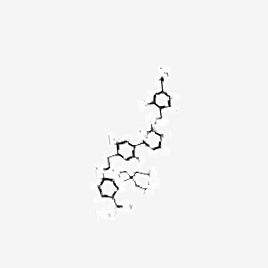 CC1(Cn2c(Cc3cc(F)c(-c4cccc(OCc5ccc(C#N)cc5F)n4)cc3F)nc3ccc(C(=O)O)cc32)CCOCC1